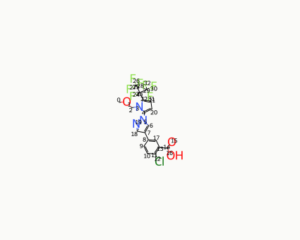 COCn1c(-n2cc(-c3ccc(Cl)c(C(=O)O)c3)cn2)ccc1C(F)(C(F)(F)F)C(F)(F)F